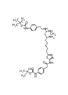 CNC(NCCc1ccc(NC(=O)OC(C)(C)C)cc1)SC(N)CCSCCc1nnc(NC(=O)Cc2ccc(NC(=O)OC(C)(C)C)cc2)s1